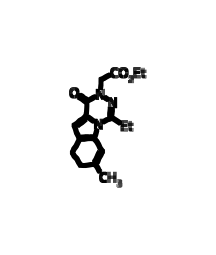 CCOC(=O)Cn1nc(CC)n2c3c(cc2c1=O)CCC(C)=C3